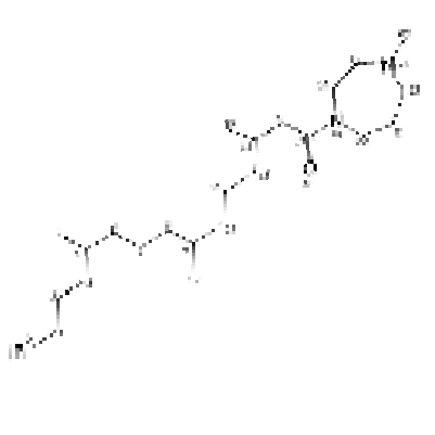 CC(C)CCCC(C)CCCC(C)CCCC(C)CC(=O)N1CCCN(C)CC1